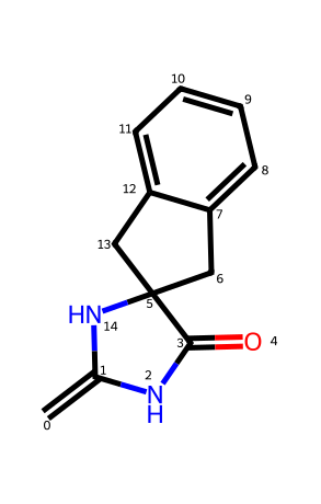 C=C1NC(=O)C2(Cc3ccccc3C2)N1